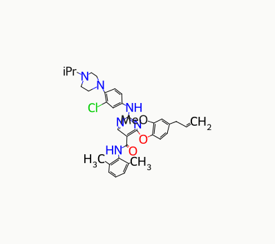 C=CCc1ccc(Oc2nc(Nc3ccc(N4CCN(C(C)C)CC4)c(Cl)c3)ncc2C(=O)Nc2c(C)cccc2C)c(OC)c1